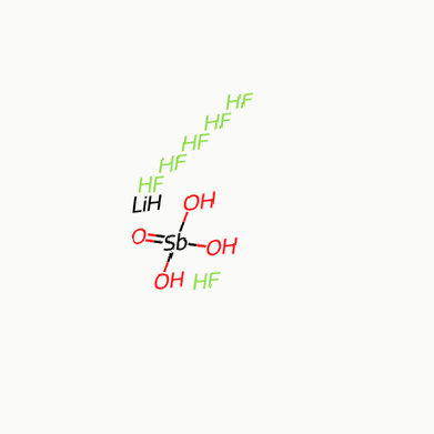 F.F.F.F.F.F.[LiH].[O]=[Sb]([OH])([OH])[OH]